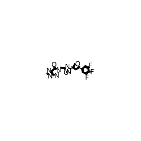 Cn1cnc2ncn(Cc3nc([C@@H]4CO[C@@H](c5cc(F)c(F)c(F)c5)C4)no3)c(=O)c21